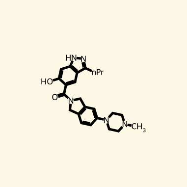 CCCc1n[nH]c2cc(O)c(C(=O)N3Cc4ccc(N5CCN(C)CC5)cc4C3)cc12